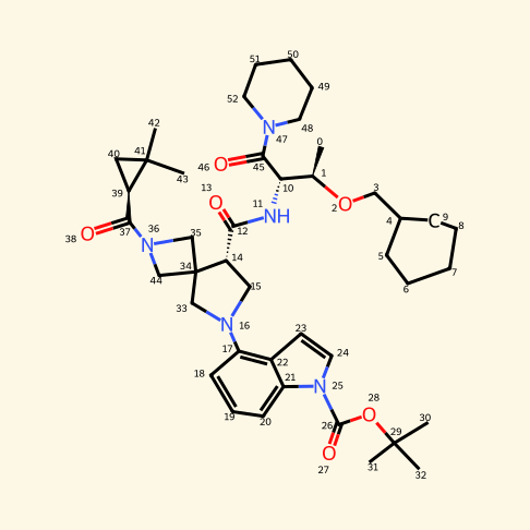 C[C@@H](OCC1CCCCC1)[C@H](NC(=O)[C@@H]1CN(c2cccc3c2ccn3C(=O)OC(C)(C)C)CC12CN(C(=O)[C@H]1CC1(C)C)C2)C(=O)N1CCCCC1